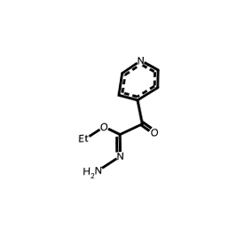 CCOC(=NN)C(=O)c1ccncc1